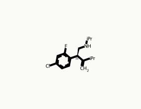 C=C(C(C)C)[C@H](CNC(C)C)c1ccc(Cl)cc1F